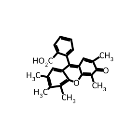 Cc1cc2c(-c3ccccc3C(=O)O)c3cc(C)c(=O)c(C)c-3oc2c(C)c1C